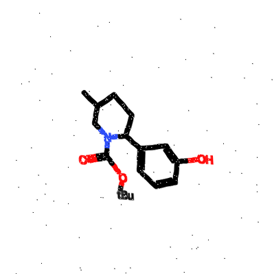 CC1CCC(c2cccc(O)c2)N(C(=O)OC(C)(C)C)C1